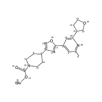 Cc1cc(-c2nc(C3CCN(C(=O)OC(C)(C)C)CC3)no2)cc(C2CCOC2)n1